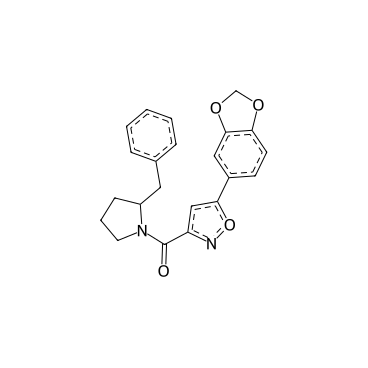 O=C(c1cc(-c2ccc3c(c2)OCO3)on1)N1CCCC1Cc1ccccc1